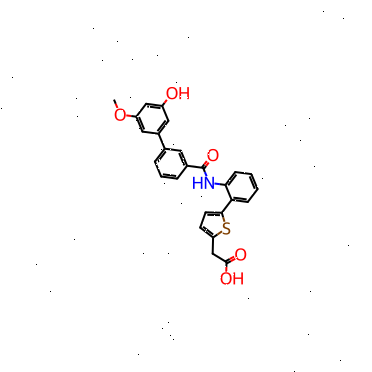 COc1cc(O)cc(-c2cccc(C(=O)Nc3ccccc3-c3ccc(CC(=O)O)s3)c2)c1